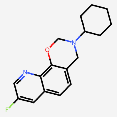 Fc1cnc2c3c(ccc2c1)CN(C1CCCCC1)CO3